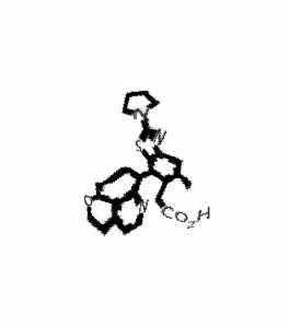 Cc1cc2nc(N3CCCC3)sc2c(-c2ccc3c4c(ccnc24)CCO3)c1CC(=O)O